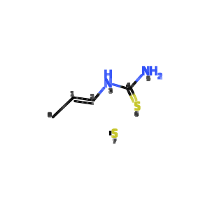 CC=CNC(N)=S.[S]